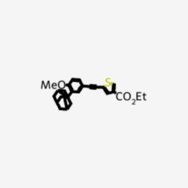 CCOC(=O)c1csc(C#Cc2ccc(OC)c(C34CC5CC(CC(C5)C3)C4)c2)c1